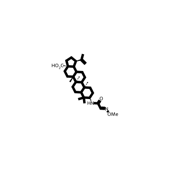 C=C(C)[C@@H]1CC[C@]2(C(=O)O)CC[C@]3(C)C(CCC4[C@@]5(C)CC[C@H](NC(=O)/C=N/OC)C(C)(C)C5CC[C@]43C)C12